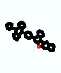 c1ccc(-c2c3ccccc3c(-c3ccc(-c4cc5oc6cc7ccccc7cc6c5c5ccccc45)cc3)c3ccccc23)cc1